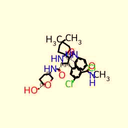 CNC(=O)c1cc(Cl)cc([C@H]2[C@H](C(=O)N[C@@H]3CC[C@@H](CO)OC3)NC3(CCC(C)(C)CC3)[C@@]23C(=O)Nc2cc(Cl)ccc23)c1